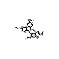 COc1ccc(CO[C@@H]2[C@H]3N=C(N(C)C)S[C@H]3O[C@@H](CCF)[C@@H]2OCc2ccc(OC)cc2)cc1